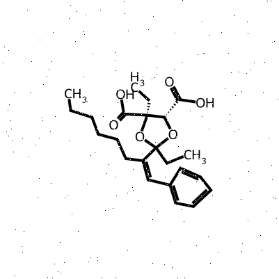 CCCCCCC(=Cc1ccccc1)C1(CC)O[C@@H](C(=O)O)[C@](CC)(C(=O)O)O1